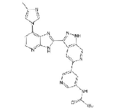 Cc1cn(-c2ccnc3[nH]c(-c4n[nH]c5cnc(-c6cncc(NC(=O)C(C)(C)C)c6)cc45)nc23)cn1